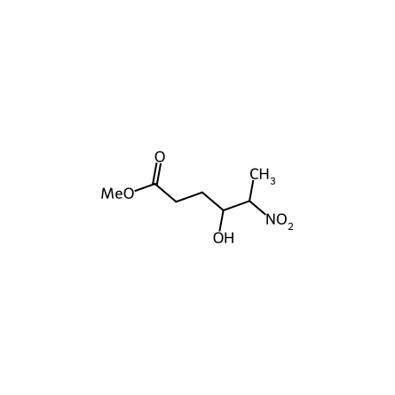 COC(=O)CCC(O)C(C)[N+](=O)[O-]